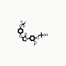 COc1cc(N2CC=C(Oc3ccc(OC(F)(F)F)cc3)C2=O)ccc1OCC(C)(C)O